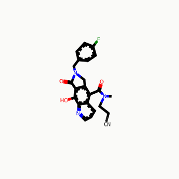 CN(CCC#N)C(=O)c1c2c(c(O)c3ncccc13)C(=O)N(Cc1ccc(F)cc1)C2